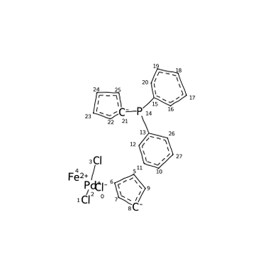 [Cl-].[Cl][Pd+][Cl].[Fe+2].c1cc[cH-]c1.c1ccc(P(c2ccccc2)[c-]2cccc2)cc1